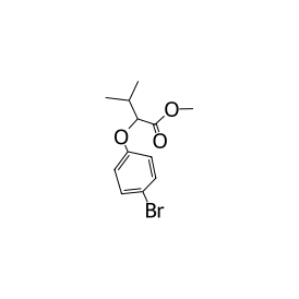 COC(=O)C(Oc1ccc(Br)cc1)C(C)C